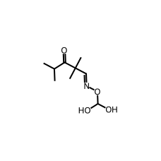 CC(C)C(=O)C(C)(C)C=NOC(O)O